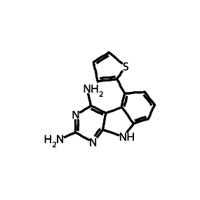 Nc1nc(N)c2c(n1)[nH]c1cccc(-c3cccs3)c12